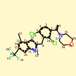 C=C(c1ccc(Cl)c(Cc2cc3c(C)cc(C(F)(F)F)cc3n2C)c1Cl)N1CCOCC1